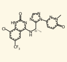 C[C@H](Nc1nc(=O)[nH]c2c(Cl)cc(C(F)(F)F)cc12)c1ncnn1-c1ccc(=O)n(C)n1